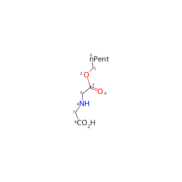 CCCCCCOC(=O)CNCC(=O)O